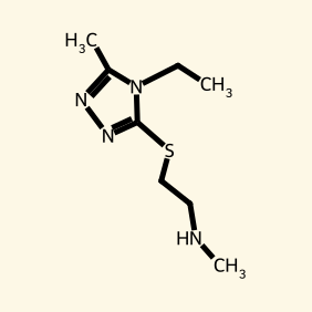 CCn1c(C)nnc1SCCNC